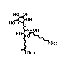 CCCCCCCCCCCCCCCCC(O)C(=O)NC(CO[C@@H]1OC(CO)[C@H](O)C(O)[C@@H]1O)C(O)/C=C/CC/C=C(\C)CCCCCCCCC